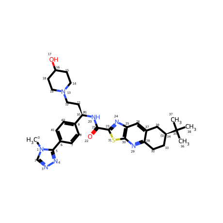 Cn1cnnc1-c1ccc([C@@H](CCN2CCC(O)CC2)NC(=O)c2nc3cc4c(nc3s2)CC[C@H](C(C)(C)C)C4)cc1